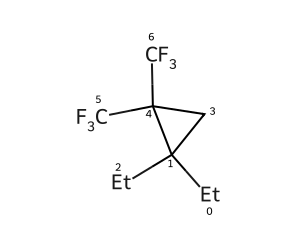 CCC1(CC)CC1(C(F)(F)F)C(F)(F)F